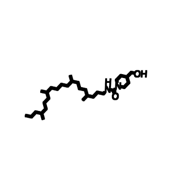 CCCC(C)CCCC(C)CCCCC(C)CCCC(C)CCCNC(=O)N1CCC(CO)CC1